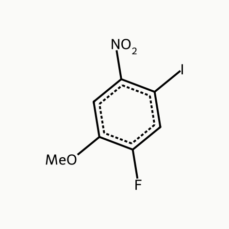 COc1cc([N+](=O)[O-])c(I)cc1F